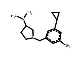 CN(C)C1CCN(Cc2cc(N)cc(C3CC3)c2)C1